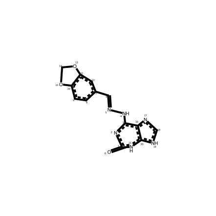 O=c1nc(NN=Cc2ccc3c(c2)OCO3)c2nc[nH]c2[nH]1